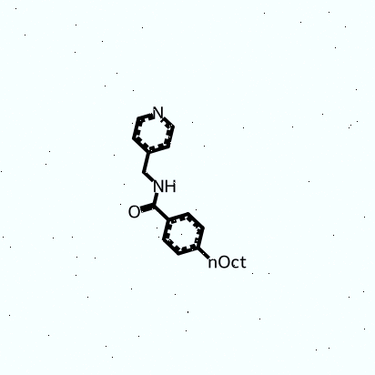 CCCCCCCCc1ccc(C(=O)NCc2ccncc2)cc1